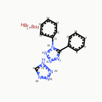 Br.Br.c1ccc(-c2nnnn2-c2ccccc2)cc1.c1nnn[nH]1